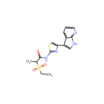 CCS(=O)(=O)C(C)C(=O)Nc1nc(-c2c[nH]c3ncccc23)cs1